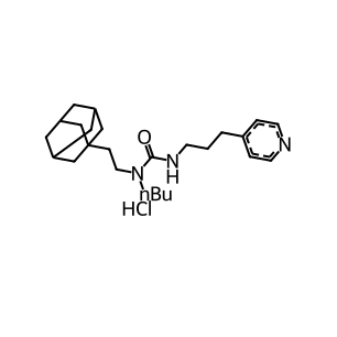 CCCCN(CCC12CC3CC(CC(C3)C1)C2)C(=O)NCCCc1ccncc1.Cl